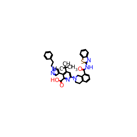 CC(C)(C)c1cc(N2CCc3cccc(C(=O)Nc4nc5ccccc5s4)c3C2)nc(C(=O)O)c1-c1cnn(CCc2ccccc2)c1